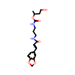 CC(CCO)OC(=O)NCCCNC(=O)/C=C/c1ccc2c(c1)OCO2